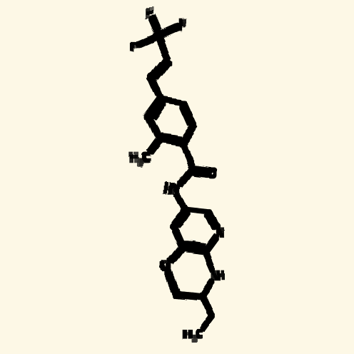 CCC1COc2cc(NC(=O)c3ccc(/C=C/C(F)(F)F)cc3C)cnc2N1